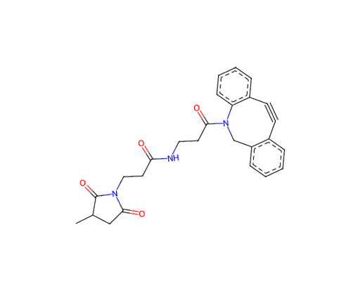 CC1CC(=O)N(CCC(=O)NCCC(=O)N2Cc3ccccc3C#Cc3ccccc32)C1=O